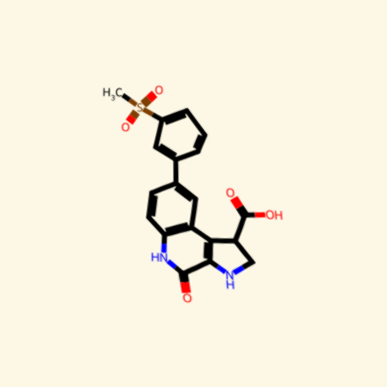 CS(=O)(=O)c1cccc(-c2ccc3[nH]c(=O)c4c(c3c2)C(C(=O)O)CN4)c1